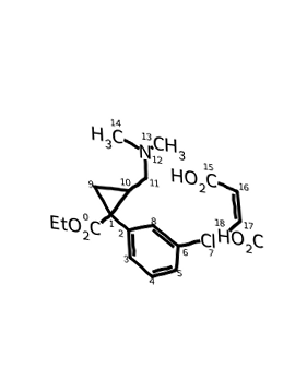 CCOC(=O)C1(c2cccc(Cl)c2)CC1CN(C)C.O=C(O)/C=C\C(=O)O